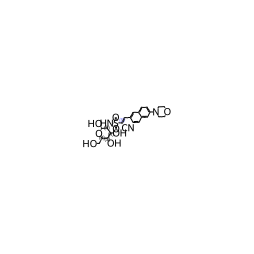 N#C/C(=C\c1ccc2cc(N3CCOCC3)ccc2c1)S(=O)(=O)N[C@H]1C(O)O[C@H](CO)[C@@H](O)[C@@H]1O